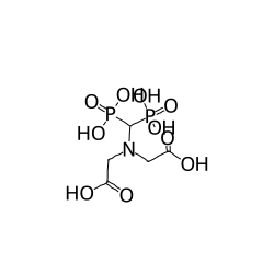 O=C(O)CN(CC(=O)O)C(P(=O)(O)O)P(=O)(O)O